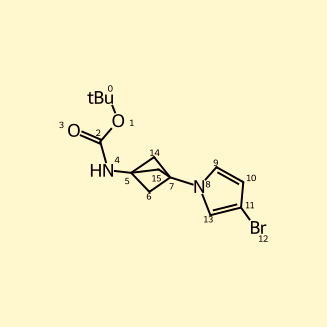 CC(C)(C)OC(=O)NC12CC(n3ccc(Br)c3)(C1)C2